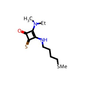 CCN(C)c1c(NCCCCSC)c(=S)c1=O